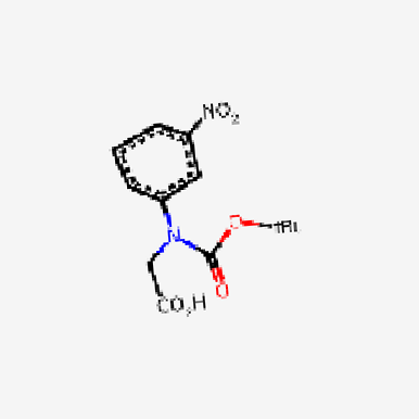 CC(C)(C)OC(=O)N(CC(=O)O)c1cccc([N+](=O)[O-])c1